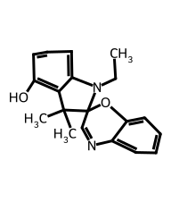 CCN1c2cccc(O)c2C(C)(C)C12C=Nc1ccccc1O2